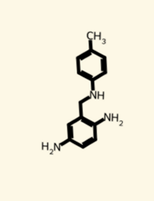 Cc1ccc(NCc2cc(N)ccc2N)cc1